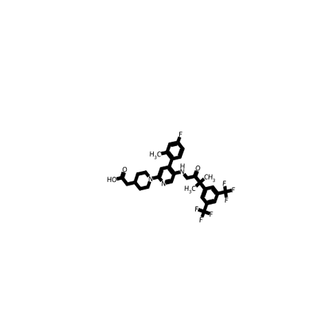 Cc1cc(F)ccc1-c1cc(N2CCC(CC(=O)O)CC2)ncc1NCC(=O)C(C)(C)c1cc(C(F)(F)F)cc(C(F)(F)F)c1